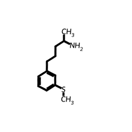 CSc1cccc(CCCC(C)N)c1